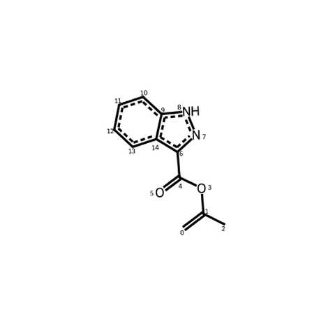 C=C(C)OC(=O)c1n[nH]c2ccccc12